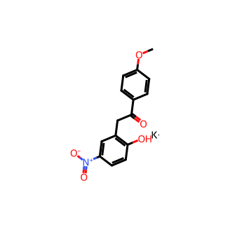 COc1ccc(C(=O)Cc2cc([N+](=O)[O-])ccc2O)cc1.[K]